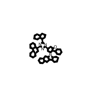 c1ccc2cc3c(cc2c1)c1ccccc1n3-c1cc(-c2nc(-c3cccc4ccccc34)nc(-c3cc4ccccc4c4ccccc34)n2)cc2oc3ccccc3c12